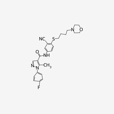 Cc1c(C(=O)Nc2ccc(SCCCCN3CCOCC3)c(C#N)c2)cnn1-c1ccc(F)cc1